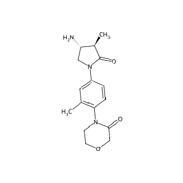 Cc1cc(N2C[C@H](N)[C@@H](C)C2=O)ccc1N1CCOCC1=O